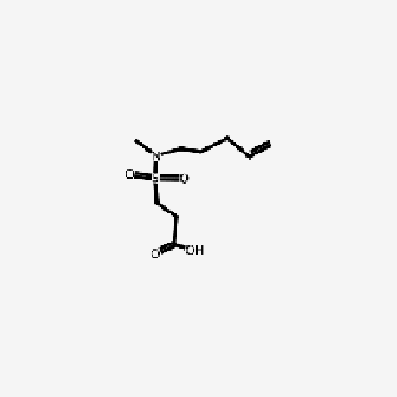 C=CCCCN(C)S(=O)(=O)CCC(=O)O